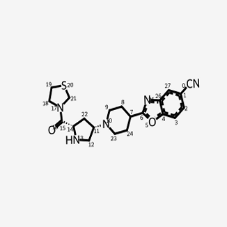 N#Cc1ccc2oc(C3CCN([C@@H]4CN[C@H](C(=O)N5CCSC5)C4)CC3)nc2c1